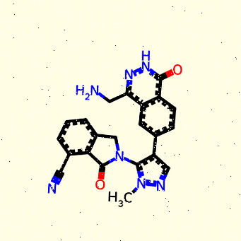 Cn1ncc(-c2ccc3c(=O)[nH]nc(CN)c3c2)c1N1Cc2cccc(C#N)c2C1=O